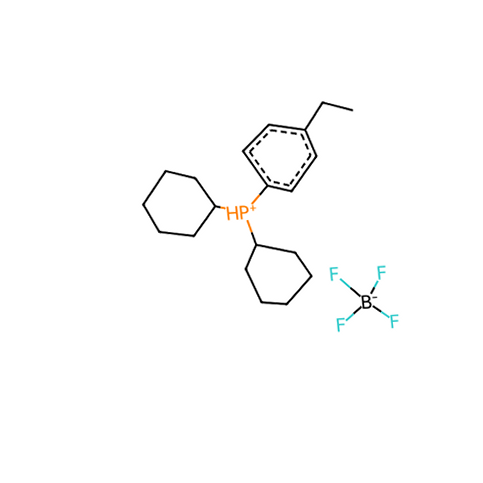 CCc1ccc([PH+](C2CCCCC2)C2CCCCC2)cc1.F[B-](F)(F)F